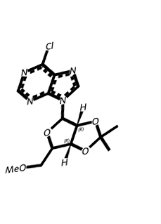 COCC1OC(n2cnc3c(Cl)ncnc32)[C@@H]2OC(C)(C)O[C@H]12